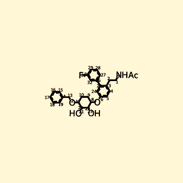 CC(=O)NCCc1ccc(OC2CCC(OCc3ccccc3)C(O)C2O)cc1-c1cccc(F)c1